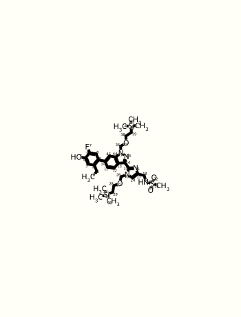 CCc1cc(O)c(F)cc1-c1ccc2c(-c3nc(CNS(C)(=O)=O)cn3COCC[Si](C)(C)C)nn(COCC[Si](C)(C)C)c2c1